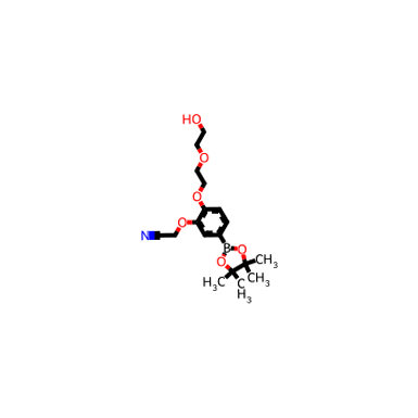 CC1(C)OB(c2ccc(OCCOCCO)c(OCC#N)c2)OC1(C)C